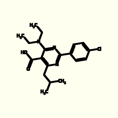 CCN(CC)c1nc(-c2ccc(Cl)cc2)nc(CC(C)C)c1C(=O)O